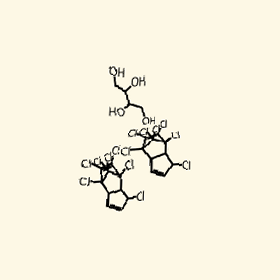 ClC1=C(Cl)C2(Cl)C3C(Cl)C=CC3C1(Cl)C2(Cl)Cl.ClC1=C(Cl)C2(Cl)C3C(Cl)C=CC3C1(Cl)C2(Cl)Cl.OCC(O)C(O)CO